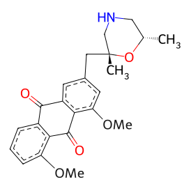 COc1cccc2c1C(=O)c1c(OC)cc(C[C@]3(C)CNC[C@H](C)O3)cc1C2=O